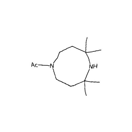 CC(=O)N1CCC(C)(C)NC(C)(C)CC1